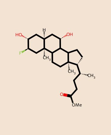 COC(=O)CC[C@@H](C)[C@H]1CCC2C3C(CC[C@@]21C)[C@@]1(C)C[C@@H](F)[C@H](O)C[C@H]1C[C@@H]3O